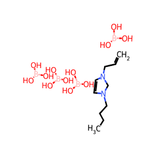 C=CCN1C=CN(CCCC)C1.OB(O)O.OB(O)O.OB(O)O.OB(O)O